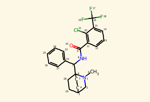 CN1CC2CCC1(C(NC(=O)c1cccc(C(F)(F)F)c1Cl)c1ccccc1)CC2